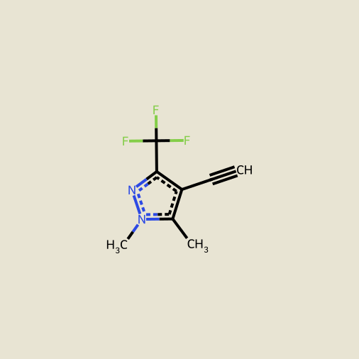 C#Cc1c(C(F)(F)F)nn(C)c1C